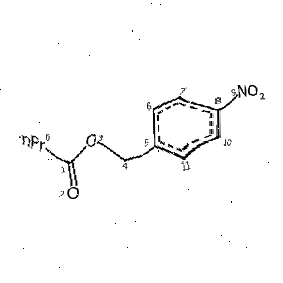 CC[CH]C(=O)OCc1ccc([N+](=O)[O-])cc1